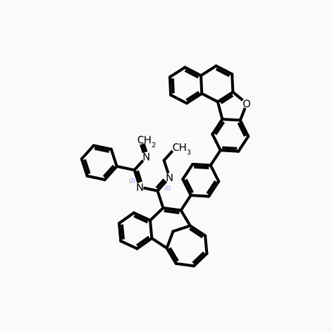 C=N/C(=N\C(=N/CC)C1=C(c2ccc(-c3ccc4oc5ccc6ccccc6c5c4c3)cc2)C2=CC=CC=C(C2)c2ccccc21)c1ccccc1